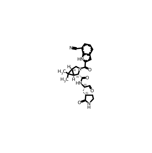 CC1(C)[C@@H]2[C@@H](C(=O)N[C@H](C=O)C[C@@H]3CCNC3=O)N(C(=O)c3cc4cccc(C#N)c4[nH]3)C[C@@H]21